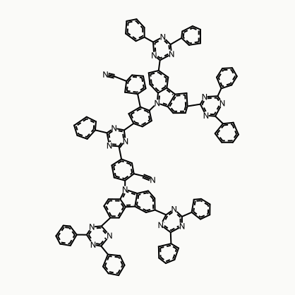 N#Cc1cccc(-c2cc(-c3nc(-c4ccccc4)nc(-c4ccc(-n5c6ccc(-c7nc(-c8ccccc8)nc(-c8ccccc8)n7)cc6c6cc(-c7nc(-c8ccccc8)nc(-c8ccccc8)n7)ccc65)c(C#N)c4)n3)ccc2-n2c3ccc(-c4nc(-c5ccccc5)nc(-c5ccccc5)n4)cc3c3cc(-c4nc(-c5ccccc5)nc(-c5ccccc5)n4)ccc32)c1